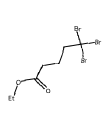 CCOC(=O)CCCC(Br)(Br)Br